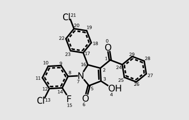 O=C(C1=C(O)C(=O)N(c2cccc(Cl)c2F)C1c1ccc(Cl)cc1)c1ccccc1